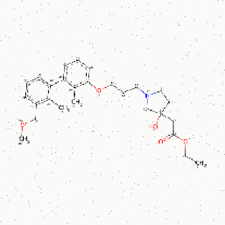 CCOC(=O)CC1(O)CCN(CCCOc2cccc(-c3cccc(COC)c3C)c2C)C1